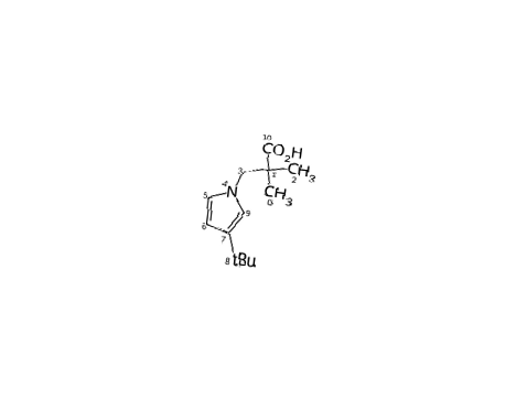 CC(C)(Cn1ccc(C(C)(C)C)c1)C(=O)O